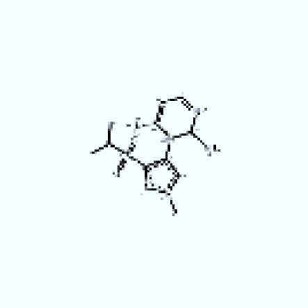 CC(C)S(=O)(=O)c1nn(C)cc1N1C(N)=CC=NC1N